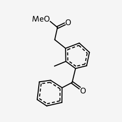 COC(=O)Cc1cccc(C(=O)c2ccccc2)c1C